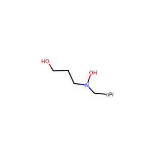 CCCCN(O)CCCO